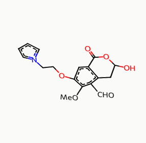 COc1c(OCCn2cccc2)cc2c(c1C=O)CC(O)OC2=O